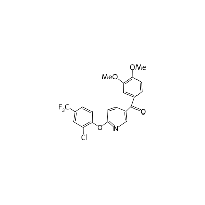 COc1ccc(C(=O)c2ccc(Oc3ccc(C(F)(F)F)cc3Cl)nc2)cc1OC